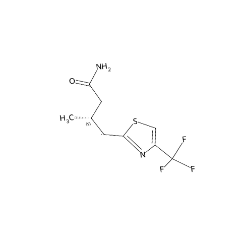 C[C@@H]([CH]c1nc(C(F)(F)F)cs1)CC(N)=O